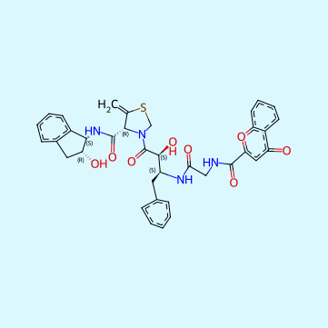 C=C1SCN(C(=O)[C@@H](O)[C@H](Cc2ccccc2)NC(=O)CNC(=O)c2cc(=O)c3ccccc3o2)[C@@H]1C(=O)N[C@H]1c2ccccc2C[C@H]1O